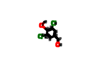 COc1c(Cl)cc(C=O)cc1Cl